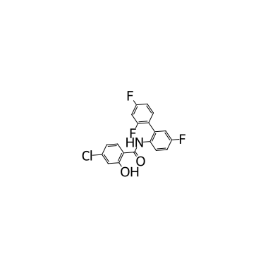 O=C(Nc1ccc(F)cc1-c1ccc(F)cc1F)c1ccc(Cl)cc1O